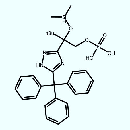 C[SiH](C)OC(COP(=O)(O)O)(c1n[nH]c(C(c2ccccc2)(c2ccccc2)c2ccccc2)n1)C(C)(C)C